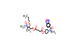 CCCCSS/C(CCOC(=O)CCCC(=O)O[C@H]1CC[C@H](N(C)C(=O)c2ccc3nonc3c2)CC1)=C(/C)N(C)C=O